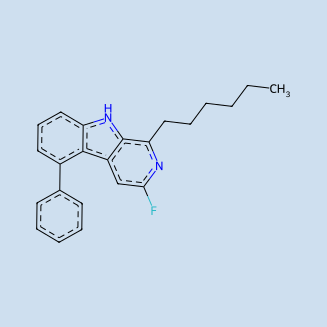 CCCCCCc1nc(F)cc2c1[nH]c1cccc(-c3ccccc3)c12